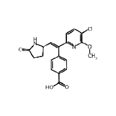 COc1nc(C(=C[C@H]2CCC(=O)N2)c2ccc(C(=O)O)cc2)ccc1Cl